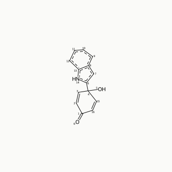 O=C1C=CC(O)(c2cc3ccccc3[nH]2)C=C1